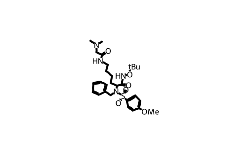 COc1ccc(S(=O)(=O)N(Cc2ccccc2)C(CCCCNC(=O)CN(C)C)C(=O)NOC(C)(C)C)cc1